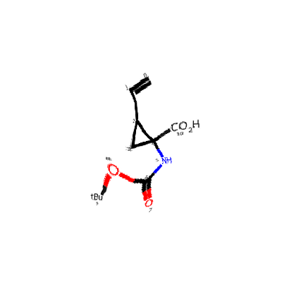 C=CC1CC1(NC(=O)OC(C)(C)C)C(=O)O